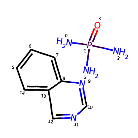 NP(N)(N)=O.c1ccc2ncncc2c1